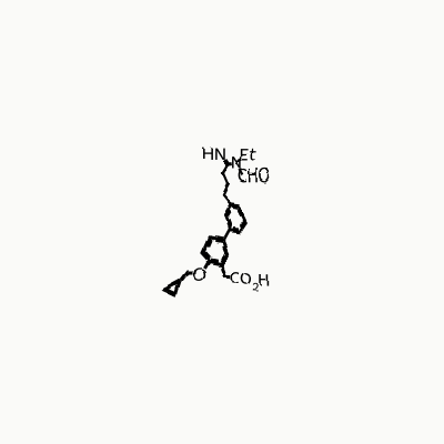 CCN(C=O)C(=N)CCCc1cccc(-c2ccc(OCC3CC3)c(CC(=O)O)c2)c1